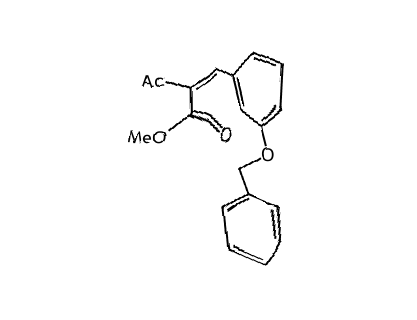 COC(=O)/C(=C\c1cccc(OCc2ccccc2)c1)C(C)=O